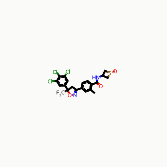 Cc1cc(C2=NOC(c3cc(Cl)c(Cl)c(Cl)c3)(C(F)(F)F)C2)ccc1C(=O)NC1C[S+]([O-])C1